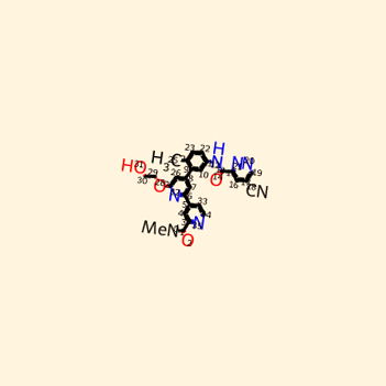 CNC(=O)c1cc(-c2cc(-c3cc(NC(=O)c4cc(C#N)cnn4)ccc3C)cc(OCCO)n2)ccn1